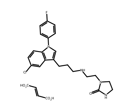 O=C(O)C=CC(=O)O.O=C1NCCN1CCNCCCc1cn(-c2ccc(F)cc2)c2ccc(Cl)cc12